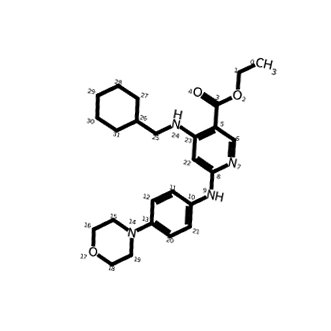 CCOC(=O)c1cnc(Nc2ccc(N3CCOCC3)cc2)cc1NCC1CCCCC1